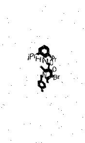 Cc1ccc(Cn2c(C)c(Br)c(=O)c(C(=O)Nc3c(C(C)C)cccc3C(C)C)c2C)cc1